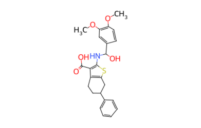 COc1ccc(C(O)Nc2sc3c(c2C(=O)O)CCC(c2ccccc2)C3)cc1OC